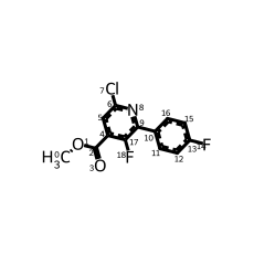 COC(=O)c1cc(Cl)nc(-c2ccc(F)cc2)c1F